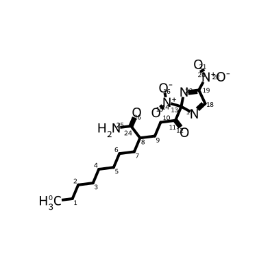 CCCCCCCCC(CCC(=O)C1([N+](=O)[O-])N=CC([N+](=O)[O-])=N1)C(N)=O